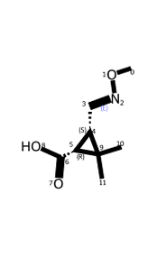 CO/N=C/[C@H]1[C@@H](C(=O)O)C1(C)C